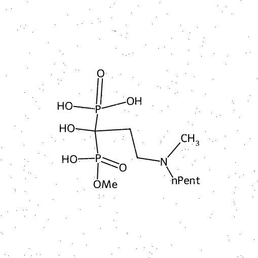 CCCCCN(C)CCC(O)(P(=O)(O)O)P(=O)(O)OC